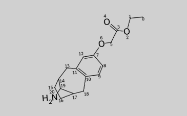 CCOC(=O)COc1ccc2c(c1)CC1CCC(C2)C1N